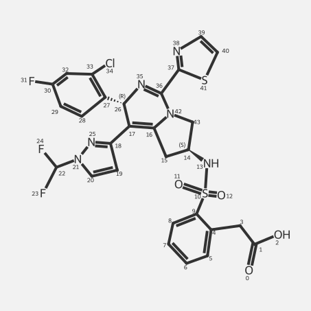 O=C(O)Cc1ccccc1S(=O)(=O)N[C@H]1CC2=C(c3ccn(C(F)F)n3)[C@H](c3ccc(F)cc3Cl)N=C(c3nccs3)N2C1